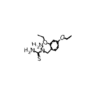 CCOc1ccc(CN(N)C(N)=S)c(OCC)c1